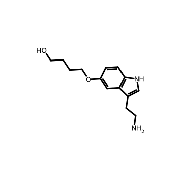 NCCc1c[nH]c2ccc(OCCCCO)cc12